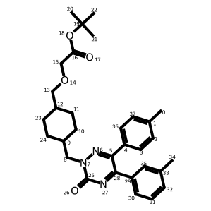 Cc1ccc(-c2nn(CC3CCC(COCC(=O)OC(C)(C)C)CC3)c(=O)nc2-c2cccc(C)c2)cc1